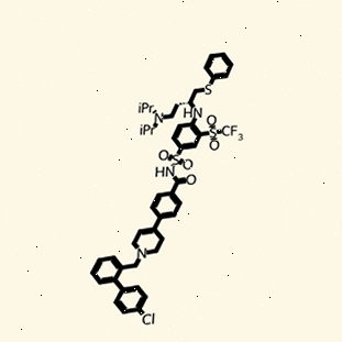 CC(C)N(CC[C@H](CSc1ccccc1)Nc1ccc(S(=O)(=O)NC(=O)c2ccc(C3=CCN(Cc4ccccc4-c4ccc(Cl)cc4)CC3)cc2)cc1S(=O)(=O)C(F)(F)F)C(C)C